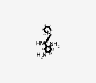 N=C(C#CCN1CCCCC1)c1cc(N)ccc1N